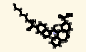 CCCCCCNC(=O)c1ccc2c(c1)ncn2/C(C)=C1\c2ccccc2COc2ccc(C(=O)O)cc21